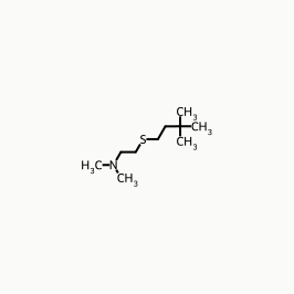 CN(C)CCSCCC(C)(C)C